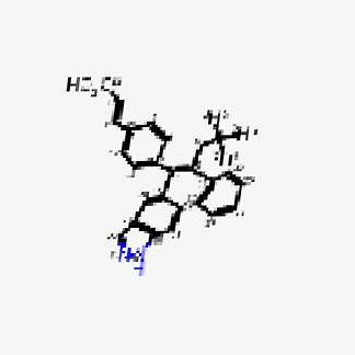 [2H]C([2H])([2H])CC(=C(c1ccc(C=CC(=O)O)cc1)c1ccc2[nH]ncc2c1)c1ccccc1